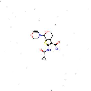 NC(=O)c1c(NC(=O)C2CC2)sc2c1CCOC2N1C#COCC1